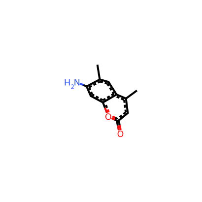 Cc1cc2c(C)cc(=O)oc2cc1N